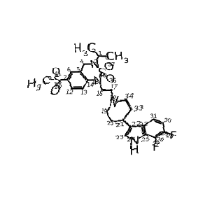 CC(C)N1Cc2cc(S(C)(=O)=O)ccc2N(CCN2CCC(c3c[nH]c4c(F)c(F)ccc34)CC2)S1(=O)=O